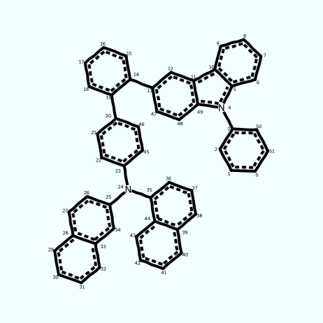 c1ccc(-n2c3ccccc3c3cc(-c4ccccc4-c4ccc(N(c5ccc6ccccc6c5)c5cccc6ccccc56)cc4)ccc32)cc1